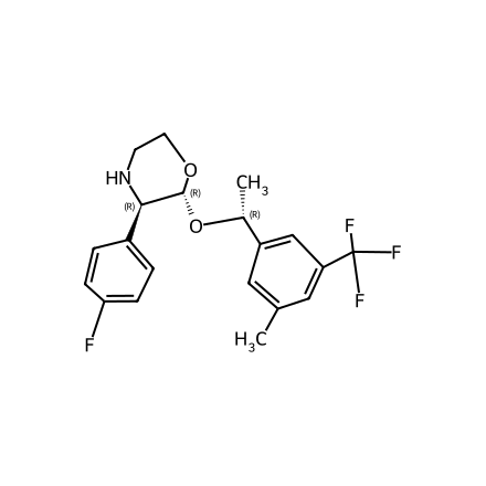 Cc1cc([C@@H](C)O[C@H]2OCCN[C@@H]2c2ccc(F)cc2)cc(C(F)(F)F)c1